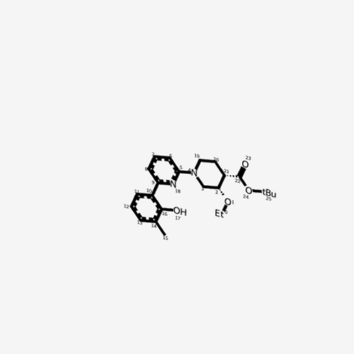 CCO[C@@H]1CN(c2cccc(-c3cccc(C)c3O)n2)CC[C@@H]1C(=O)OC(C)(C)C